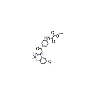 CCOC(=O)C(=O)Nc1ccc(C(=O)/C=C2\NC(C)(C)Cc3ccc(OC)cc32)cc1